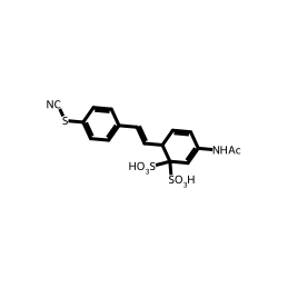 CC(=O)NC1=CC(S(=O)(=O)O)(S(=O)(=O)O)C(C=Cc2ccc(SC#N)cc2)C=C1